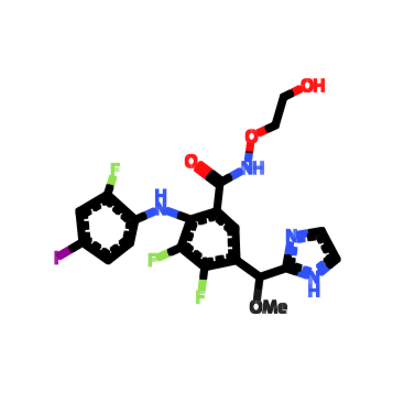 COC(c1ncc[nH]1)c1cc(C(=O)NOCCO)c(Nc2ccc(I)cc2F)c(F)c1F